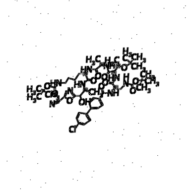 C[C@H](NC(=O)[C@@H](NC(=O)[C@H](CNC(=O)OC(C)(C)C)NC(=O)c1ccc(-c2ccc(Cl)cc2)cc1)[C@@H](C)OC(C)(C)C)C(=O)N[C@@H](CCCCNC(=O)OC(C)(C)C)C(=O)N[C@@H](C)C(O)c1ncc(C#N)o1